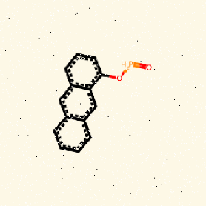 O=[PH2]Oc1cccc2cc3ccccc3cc12